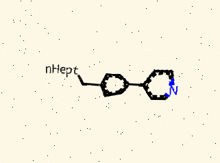 CCCCCCCCc1ccc(-c2ccncc2)cc1